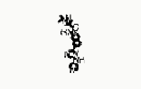 CC(C)n1cc(C(=O)Nc2cc3cc(-c4cncc(NC5CCN(C)CC5)n4)ccc3cn2)cn1